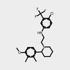 COc1ccc(C2CCCCN2CCNc2ccc(Cl)c(C(F)(F)F)c2)c(C)c1C